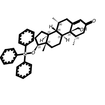 C[C@@H]1CC2=CC(=O)C[C@H](C)[C@]2(CO)[C@H]2CC[C@]3(C)[C@@H](O[Si](c4ccccc4)(c4ccccc4)c4ccccc4)CC[C@H]3[C@H]12